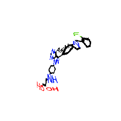 OC[C@@H](O)CNC1CCC(n2nc(-c3ccc4c(ccn4Cc4ccccc4F)c3)c3c([AsH2])ncnc32)CC1